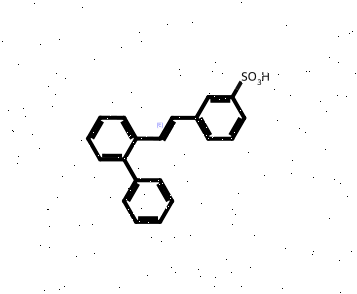 O=S(=O)(O)c1cccc(/C=C/c2ccccc2-c2ccccc2)c1